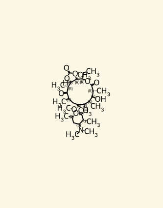 CC[C@H]1OC(=O)[C@H](C)[C@@H](O)[C@H](C)[C@@H](O[C@@H]2O[C@H](C)C[C@H](N(C)C)[C@H]2C)[C@](C)(OC)C[C@@H](C)C(=O)[C@H](C)[C@H]2OC(=O)O[C@@]21C